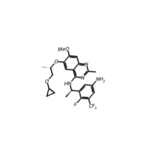 COc1cc2nc(C)nc(N[C@H](C)c3cc(N)cc(C(F)(F)F)c3F)c2cc1O[C@@H](C)COC1CC1